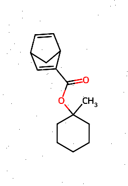 CC1(OC(=O)C2=CC3C=CC2C3)CCCCC1